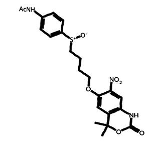 CC(=O)Nc1ccc([S+]([O-])CCCCOc2cc3c(cc2[N+](=O)[O-])NC(=O)OC3(C)C)cc1